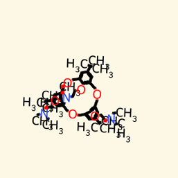 CCN(CC)CCOc1c2cc(C(C)(C)C)cc1COCc1cc(C(C)(C)C)cc(c1OCCN(CC)CC)COCc1cc(C(C)(C)C)cc(c1OCCN(CC)CC)COC2